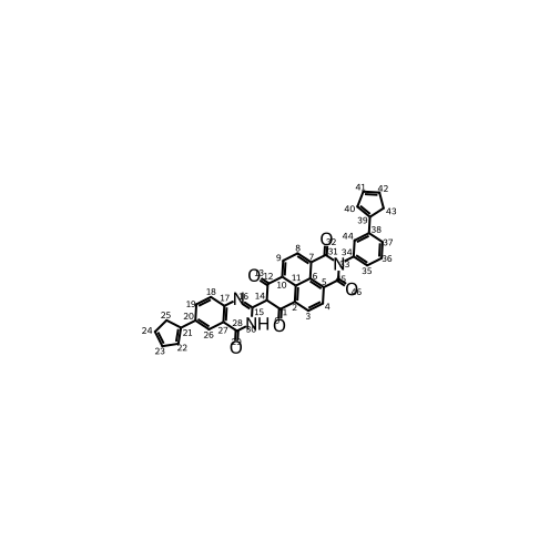 O=C1c2ccc3c4c(ccc(c24)C(=O)C1c1nc2ccc(C4=CC=CC4)cc2c(=O)[nH]1)C(=O)N(c1cccc(C2=CC=CC2)c1)C3=O